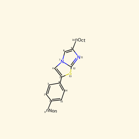 CCCCCCCCCc1ccc(-c2cn3cc(CCCCCCCC)nc3s2)cc1